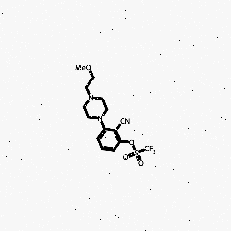 COCCN1CCN(c2cccc(OS(=O)(=O)C(F)(F)F)c2C#N)CC1